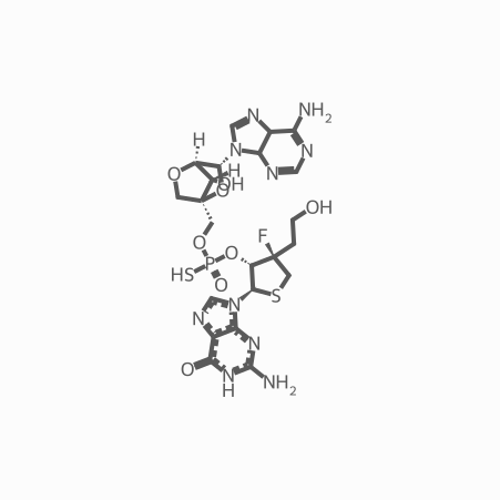 NC1=NC=NC2C1N=CN2[C@@H]1O[C@@]2(COP(=O)(S)O[C@H]3[C@H](n4cnc5c(=O)[nH]c(N)nc54)SC[C@@]3(F)CCO)CO[C@@H]1[C@@H]2O